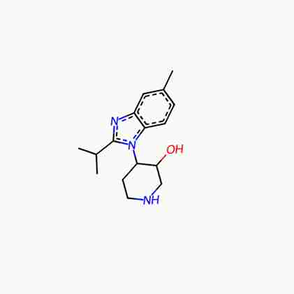 Cc1ccc2c(c1)nc(C(C)C)n2C1CCNCC1O